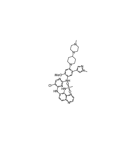 COc1cc(N2CCC(N3CCN(C)CC3)CC2)c(-c2cnn(C)c2)cc1Nc1ncc(Cl)c(Nc2ccc3nccnc3c2NS(C)(=O)=O)n1